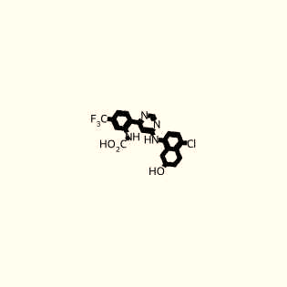 O=C(O)Nc1cc(C(F)(F)F)ccc1-c1cc(Nc2ccc(Cl)c3c2CC(O)CC3)ncn1